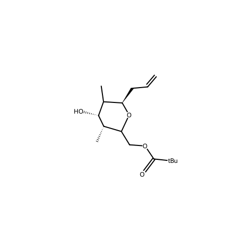 C=CC[C@H]1OC(COC(=O)C(C)(C)C)[C@H](C)[C@H](O)C1C